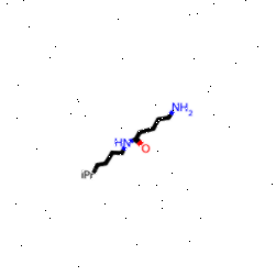 CC(C)CCCCNC(=O)CCCCN